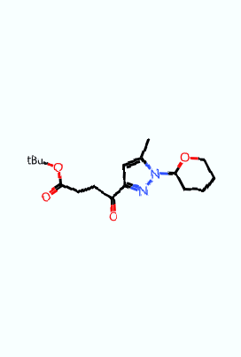 Cc1cc(C(=O)CCC(=O)OC(C)(C)C)nn1C1CCCCO1